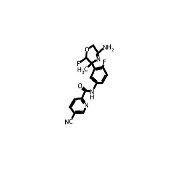 CC1(c2cc(NC(=O)c3ccc(C#N)cn3)ccc2F)N=C(N)COC1F